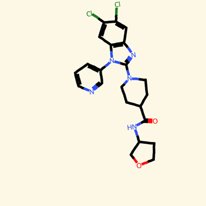 O=C(NC1CCOC1)C1CCN(c2nc3cc(Cl)c(Cl)cc3n2-c2cccnc2)CC1